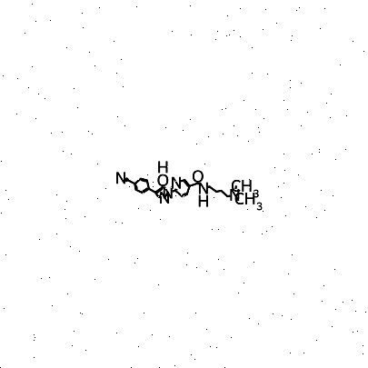 CN(C)CCCCNC(=O)c1ccc(-n2ncc(-c3ccc(C#N)cc3)c2O)nc1